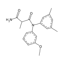 COc1cccc(N(C(=O)C(C)C(N)=O)c2cc(C)cc(C)c2)c1